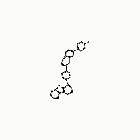 Fc1ccc(-c2ccc3ccc(-c4ccc(-c5cccc6c5oc5ccccc56)nc4)cc3c2)cc1